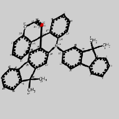 CC1(C)c2ccccc2-c2ccc(N3c4ccccc4C4(c5ccccc5Oc5ccccc54)c4cc5c(cc43)C(C)(C)c3ccccc3-5)cc21